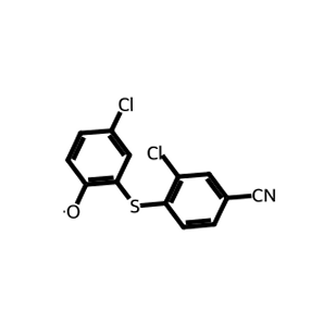 N#Cc1ccc(Sc2cc(Cl)ccc2[O])c(Cl)c1